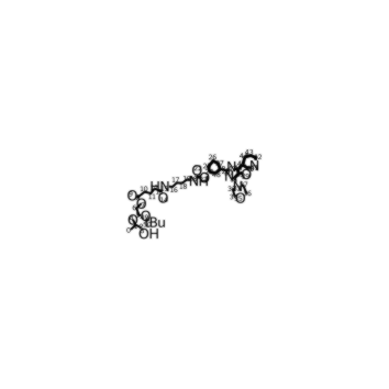 CC(CO)OC(COC(=O)CCCC(=O)NCCCCNC(=O)Oc1cccc(-c2nc(N3CCOCC3)c3oc4ncccc4c3n2)c1)OC(C)(C)C